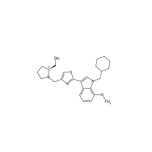 COc1cccc2c(-c3nc(CN4CCC[C@H]4CO)cs3)cn(CC3CCCCC3)c12